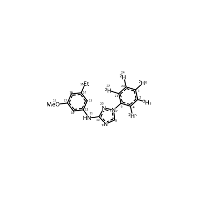 [2H]c1c([2H])c([2H])c(-n2cnc(Nc3cc(CC)cc(OC)c3)n2)c([2H])c1[2H]